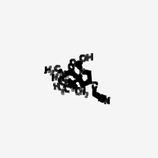 CN(C)C(=O)[C@@]1(C(C)(C)C)C[C@@H](OCC#N)CN1C(=O)O